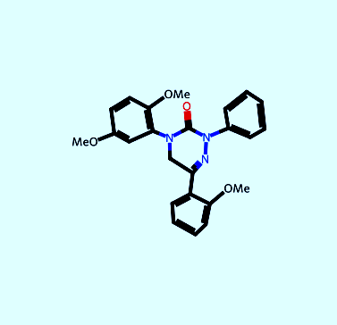 COc1ccc(OC)c(N2CC(c3ccccc3OC)=NN(c3ccccc3)C2=O)c1